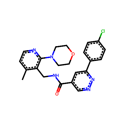 Cc1ccnc(N2CCOCC2)c1CNC(=O)c1cnnc(-c2ccc(Cl)cc2)c1